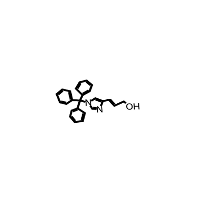 OC/C=C/c1cn(C(c2ccccc2)(c2ccccc2)c2ccccc2)cn1